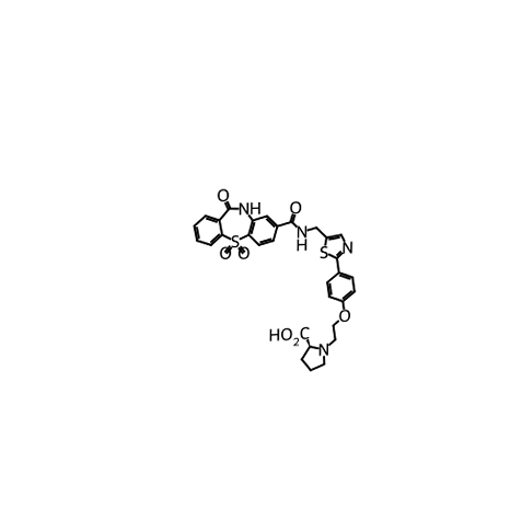 O=C(NCc1cnc(-c2ccc(OCCN3CCC[C@H]3C(=O)O)cc2)s1)c1ccc2c(c1)NC(=O)c1ccccc1S2(=O)=O